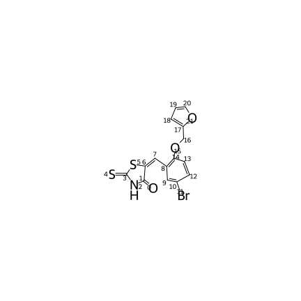 O=C1NC(=S)S/C1=C/c1cc(Br)ccc1OCc1ccco1